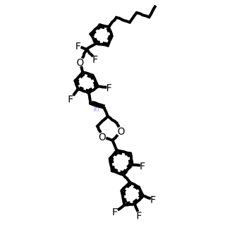 CCCCCc1ccc(C(F)(F)Oc2cc(F)c(/C=C/C3COC(c4ccc(-c5cc(F)c(F)c(F)c5)c(F)c4)OC3)c(F)c2)cc1